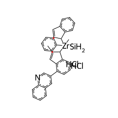 CC1=Cc2c(-c3cnc4ccccc4c3)cccc2[CH]1[Zr]([CH3])(=[SiH2])([c]1ccccc1)[CH]1C=Cc2ccccc21.Cl.Cl